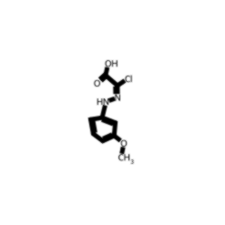 COc1cccc(N/N=C(/Cl)C(=O)O)c1